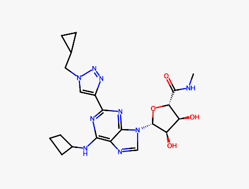 CNC(=O)[C@H]1O[C@@H](n2cnc3c(NC4CCC4)nc(-c4cn(CC5CC5)nn4)nc32)[C@H](O)[C@@H]1O